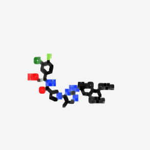 C=C(/C=C(OC)\C(OC)=C(/C)OC)Nc1ncc(C)c(-n2ccc(C(=O)N[C@H](CO)c3ccc(F)c(Cl)c3)c2)n1